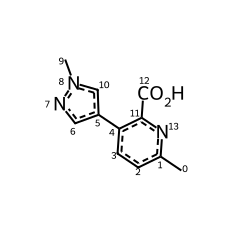 Cc1ccc(-c2cnn(C)c2)c(C(=O)O)n1